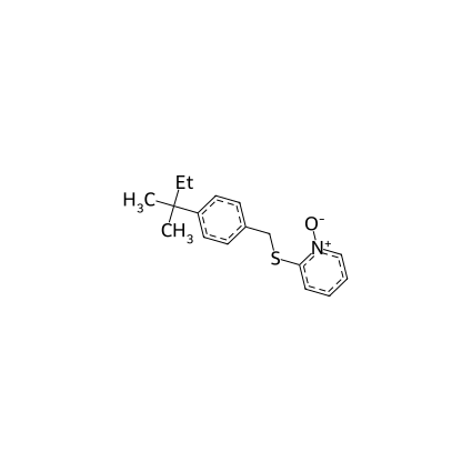 CCC(C)(C)c1ccc(CSc2cccc[n+]2[O-])cc1